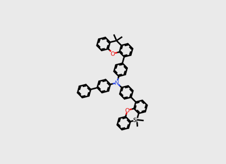 CC1(C)c2ccccc2Oc2c(-c3ccc(N(c4ccc(-c5ccccc5)cc4)c4ccc(-c5cccc6c5Oc5ccccc5[Si]6(C)C)cc4)cc3)cccc21